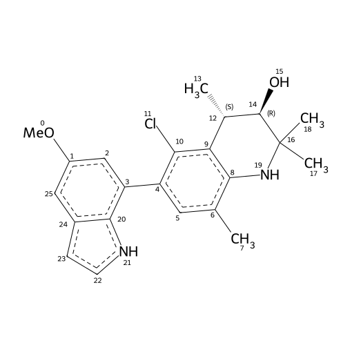 COc1cc(-c2cc(C)c3c(c2Cl)[C@H](C)[C@@H](O)C(C)(C)N3)c2[nH]ccc2c1